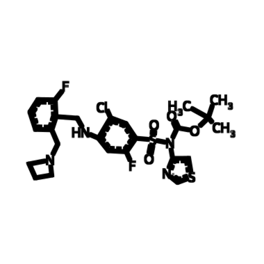 CC(C)(C)OC(=O)N(c1cscn1)S(=O)(=O)c1cc(Cl)c(NCc2c(F)cccc2CN2CCC2)cc1F